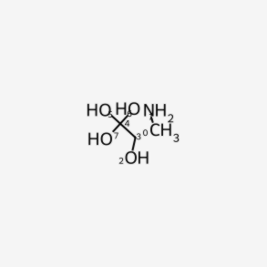 CN.OCC(O)(O)O